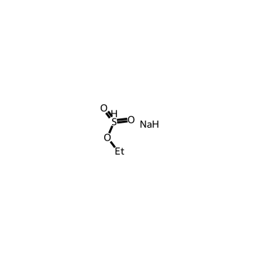 CCO[SH](=O)=O.[NaH]